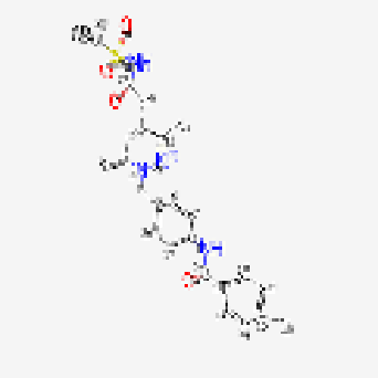 C=C(C)N(Cc1ccc(NC(=O)c2ccc(C)cc2)cc1)/N=C(/C)CCC(=O)NS(=O)(=O)C(C)(C)C